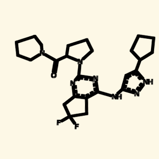 O=C(C1CCCN1c1nc2c(c(Nc3cc(C4CCCC4)[nH]n3)n1)CC(F)(F)C2)N1CCCCC1